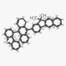 CC1(C)c2cc(-c3c4c(c(-c5cccc6sc7ccccc7c56)c5ccccc35)C=CCC4)ccc2-c2cc3ccccc3cc21